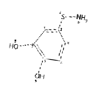 NSc1ccc(O)c(O)c1